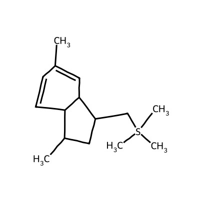 CC1=CC2C(CS(C)(C)C)CC(C)C2C=C1